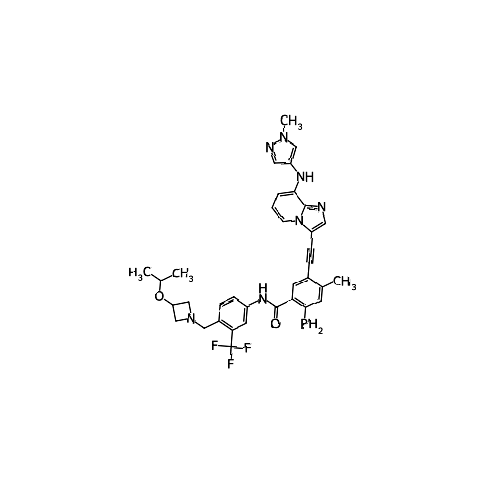 Cc1cc(P)c(C(=O)Nc2ccc(CN3CC(OC(C)C)C3)c(C(F)(F)F)c2)cc1C#Cc1cnc2c(Nc3cnn(C)c3)cccn12